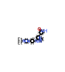 CCC(CC)N1CCN(c2ccc(Nc3ccc(-c4cc[nH]c(=O)c4)n4ccnc34)cc2)CC1